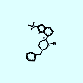 CC[C@H]1CN(Cc2ccccc2)CC[C@H]1c1cccc2cc([Si](C)(C)C)sc12